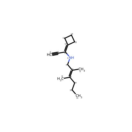 C#CC(NC/C(C)=C(\C)CCC)=C1CCC1